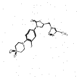 Cc1cn(C[C@H]2CN(c3ccc(N4CCS(=O)(=O)CC4)c(F)c3)C(=O)O2)nn1